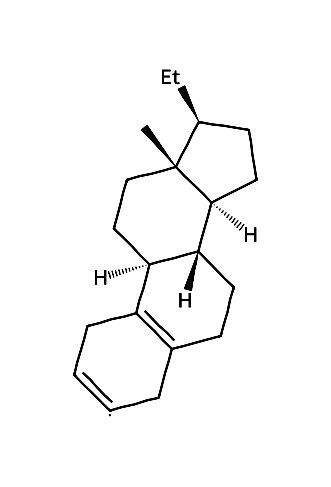 CC[C@H]1CC[C@H]2[C@@H]3CCC4=C(CC=[C]C4)[C@H]3CC[C@]12C